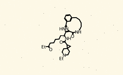 CCC(=O)CCCCC[C@H](NC(=O)C1CC12CCN(CC)CC2)c1[nH]c2nc1C(=O)NCCCCCc1cccc-2c1